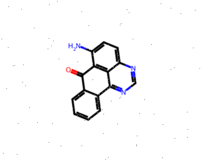 Nc1ccc2ncnc3c2c1C(=O)c1ccccc1-3